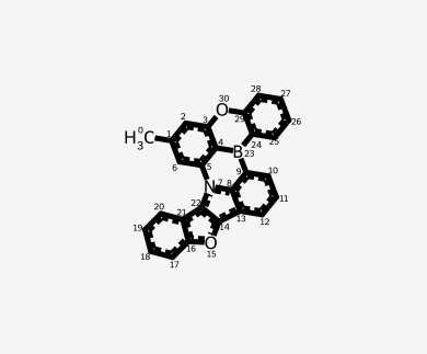 Cc1cc2c3c(c1)-n1c4c(cccc4c4oc5ccccc5c41)B3c1ccccc1O2